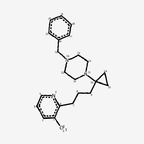 FC(F)(F)c1cccnc1CCCC1(N2CCN(Cc3ccccc3)CC2)CC1